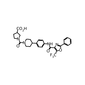 O=C(Nc1ccc(C2CCN(C(=O)N3CCC(C(=O)O)C3)CC2)cc1)c1nc(-c2ccccc2)oc1C(F)(F)F